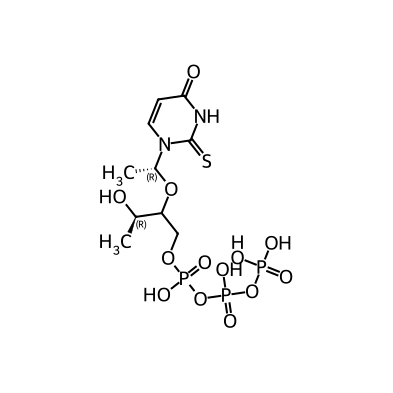 C[C@@H](O)C(COP(=O)(O)OP(=O)(O)OP(=O)(O)O)O[C@H](C)n1ccc(=O)[nH]c1=S